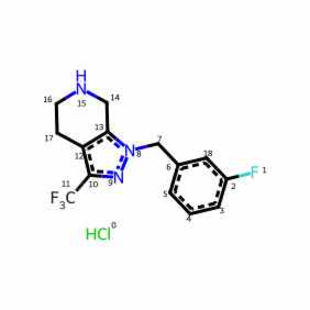 Cl.Fc1cccc(Cn2nc(C(F)(F)F)c3c2CNCC3)c1